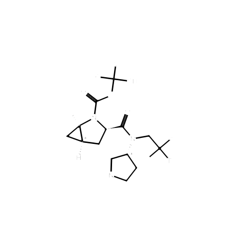 CC(C)(C)OC(=O)N1[C@@H](C(=O)N(CC(F)(F)F)[C@@H]2CCNC2)C[C@H]2C[C@H]21